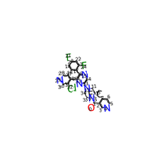 O=C(c1cnccc1C(F)(F)F)N1CCN(c2cnc(-c3ccc(F)cc3F)c(-c3ccncc3Cl)n2)CC1